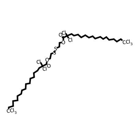 O=C(OCCSSCCOC(=O)C(Cl)(Cl)CCCCCCCCCCCCCCCC(Cl)(Cl)Cl)C(Cl)(Cl)CCCCCCCCCCCCCCCC(Cl)(Cl)Cl